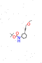 CCOCC#Cc1cccc(NC(=O)OC(C)(C)C)c1